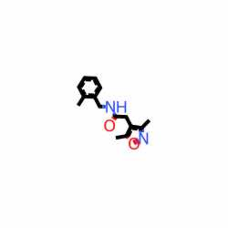 Cc1ccccc1CNC(=O)Cc1c(C)noc1C